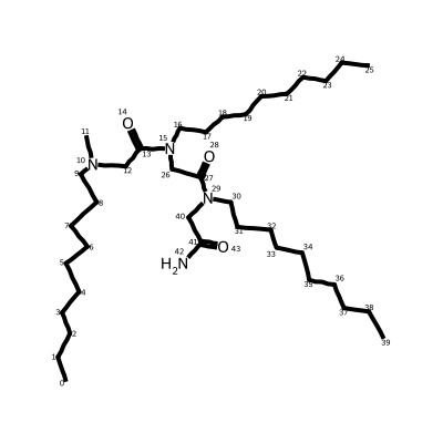 CCCCCCCCCCN(C)CC(=O)N(CCCCCCCCCC)CC(=O)N(CCCCCCCCCC)CC(N)=O